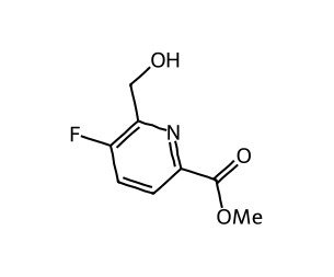 COC(=O)c1ccc(F)c(CO)n1